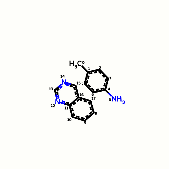 Cc1ccc(N)cc1.c1ccc2ncncc2c1